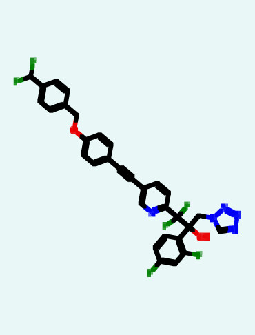 OC(Cn1cnnn1)(c1ccc(F)cc1F)C(F)(F)c1ccc(C#Cc2ccc(OCc3ccc(C(F)F)cc3)cc2)cn1